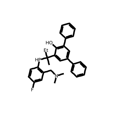 CCC(C)(Pc1ccc(F)cc1CN(C)C)c1cc(-c2ccccc2)cc(-c2ccccc2)c1O